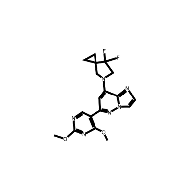 COc1ncc(-c2cc(N3CC(F)(F)C4(CC4)C3)c3nccn3n2)c(OC)n1